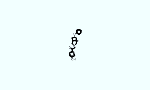 O=C(CN1CC2C[C@H](Oc3ccccc3)C[C@H]2C1)c1ccc(O)cn1